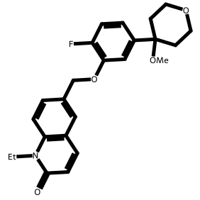 CCn1c(=O)ccc2cc(COc3cc(C4(OC)CCOCC4)ccc3F)ccc21